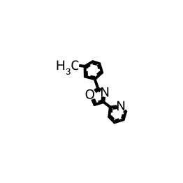 Cc1cccc(-c2nc(-c3ccccn3)co2)c1